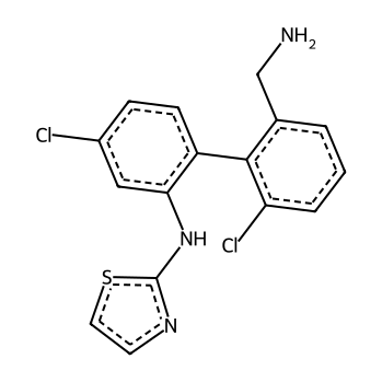 NCc1cccc(Cl)c1-c1ccc(Cl)cc1Nc1nccs1